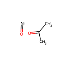 CC(C)=O.[O]=[Ni]